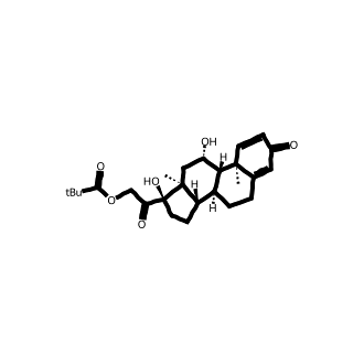 CC(C)(C)C(=O)OCC(=O)[C@@]1(O)CC[C@H]2[C@@H]3CCC4=CC(=O)C=C[C@]4(C)[C@H]3[C@@H](O)C[C@@]21C